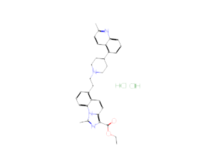 CCOC(=O)c1nc(C)n2c1ccc1c(CCN3CCC(c4cccc5nc(C)ccc45)CC3)cccc12.Cl.Cl